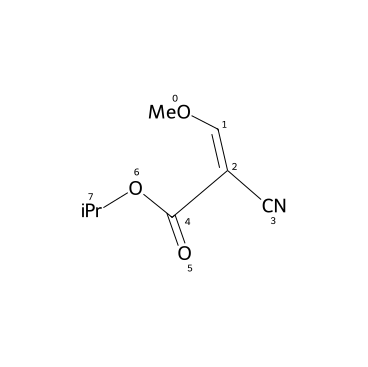 COC=C(C#N)C(=O)OC(C)C